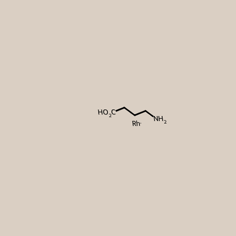 NCCCC(=O)O.[Rh]